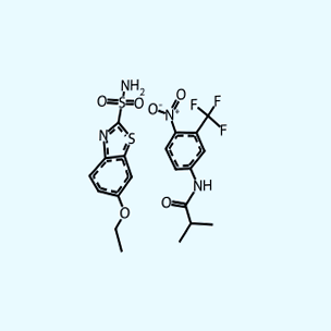 CC(C)C(=O)Nc1ccc([N+](=O)[O-])c(C(F)(F)F)c1.CCOc1ccc2nc(S(N)(=O)=O)sc2c1